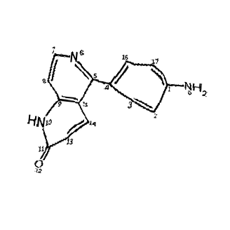 Nc1ccc(-c2nccc3[nH]c(=O)ccc23)cc1